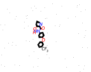 O=C(Nc1ccc(Oc2cccc(C(F)(F)F)c2)cc1)c1ncccc1O